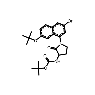 CC(C)(C)OC(=O)NC1CCN(c2cc(Br)cc3ccc(OC(C)(C)C)cc23)C1=O